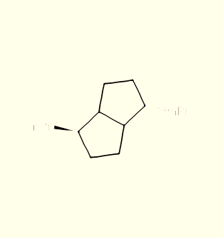 CCC[C@@H]1CCC2C1CC[C@@H]2CCC